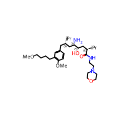 COCCCCc1cc(C[C@@H](C[C@H](N)[C@@H](O)C[C@H](C(=O)NCCN2CCOCC2)C(C)C)C(C)C)ccc1OC